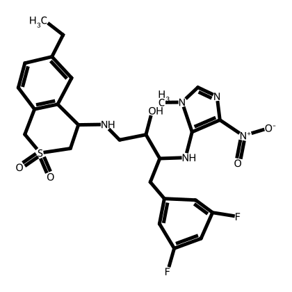 CCc1ccc2c(c1)C(NCC(O)C(Cc1cc(F)cc(F)c1)Nc1c([N+](=O)[O-])ncn1C)CS(=O)(=O)C2